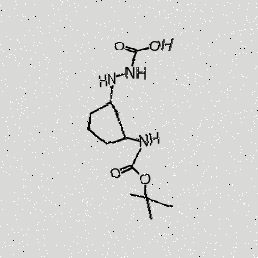 CC(C)(C)OC(=O)NC1CCC[C@@H](NNC(=O)O)C1